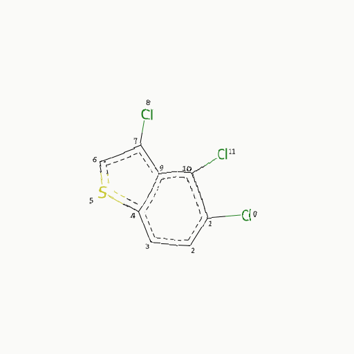 Clc1ccc2s[c]c(Cl)c2c1Cl